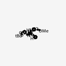 COCCOc1ccc(Nc2nc(NCc3ccccc3)c3ncn(C4CCCN(C(=O)OC(C)(C)C)C4)c3n2)cc1